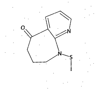 O=C1CCCN(SI)c2ncccc21